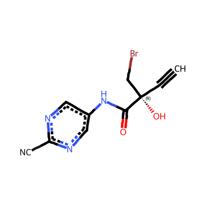 C#C[C@](O)(CBr)C(=O)Nc1cnc(C#N)nc1